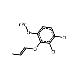 CC=COc1c(OCCC)ccc(Cl)c1Cl